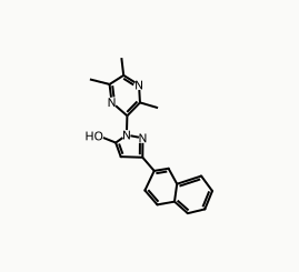 Cc1nc(C)c(-n2nc(-c3ccc4ccccc4c3)cc2O)nc1C